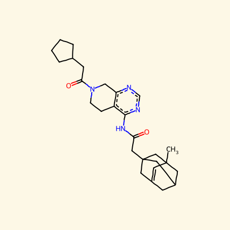 CC12C=C3CC(C1)CC(CC(=O)Nc1ncnc4c1CCN(C(=O)CC1CCCC1)C4)(C3)C2